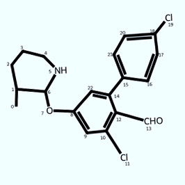 CC1CCCNC1Oc1cc(Cl)c(C=O)c(-c2ccc(Cl)cc2)c1